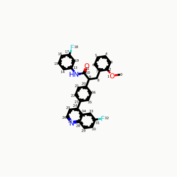 COc1ccccc1CC(C(=O)Nc1cccc(F)c1)c1ccc(-c2ccnc3ccc(F)cc23)cc1